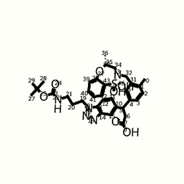 Cc1ccc(C(CC(=O)O)c2ccc3c(c2)nnn3CCCNC(=O)OC(C)(C)C)cc1CN1C[C@@H](C)Oc2ccccc2S1(O)O